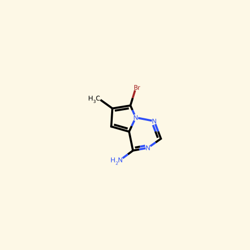 Cc1cc2c(N)ncnn2c1Br